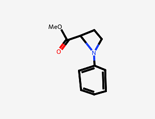 COC(=O)C1CCN1c1ccccc1